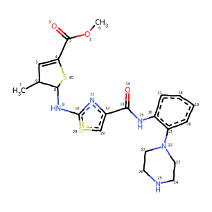 COC(=O)C1=CC(C)C(Nc2nc(C(=O)Nc3ccccc3N3CCNCC3)cs2)S1